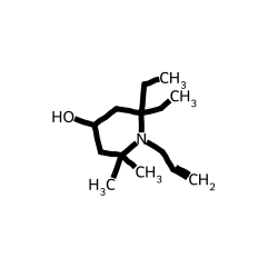 C=CCN1C(C)(C)CC(O)CC1(CC)CC